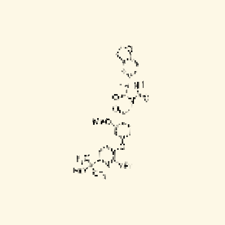 CCCc1nc(C(O)(C(F)(F)F)C(F)(F)F)ccc1Oc1ccc(C(=O)CN2C(=O)NC(C)(c3ccc4c(c3)CCO4)C2=O)c(OC)c1